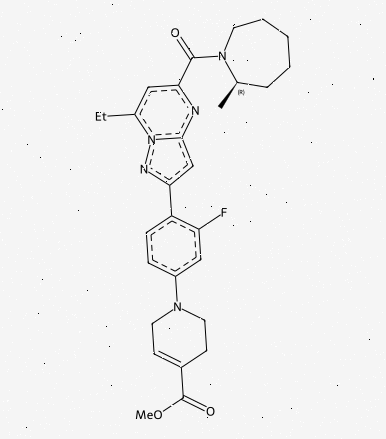 CCc1cc(C(=O)N2CCCCC[C@H]2C)nc2cc(-c3ccc(N4CC=C(C(=O)OC)CC4)cc3F)nn12